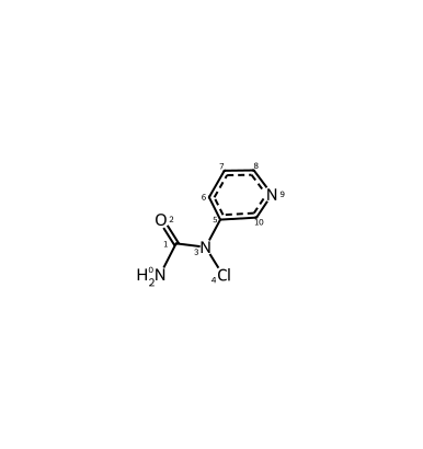 NC(=O)N(Cl)c1cccnc1